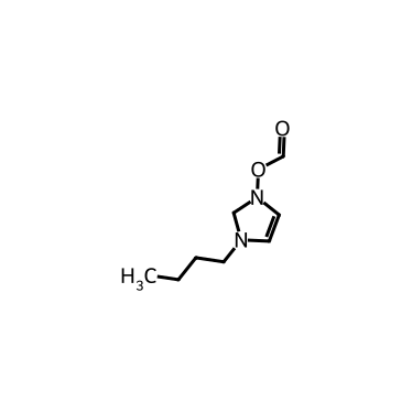 CCCCN1C=CN(OC=O)C1